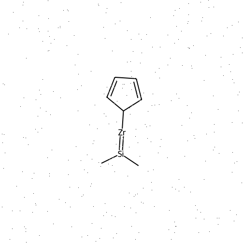 C[Si](C)=[Zr][CH]1C=CC=C1